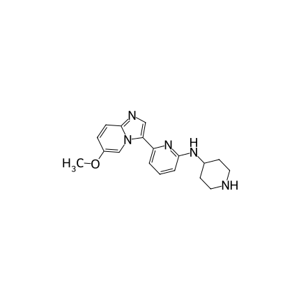 COc1ccc2ncc(-c3cccc(NC4CCNCC4)n3)n2c1